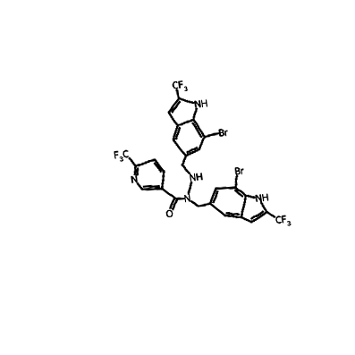 O=C(c1ccc(C(F)(F)F)nc1)N(Cc1cc(Br)c2[nH]c(C(F)(F)F)cc2c1)NCc1cc(Br)c2[nH]c(C(F)(F)F)cc2c1